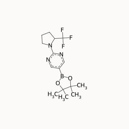 CC1(C)OB(c2cnc(N3CCCC3C(F)(F)F)nc2)OC1(C)C